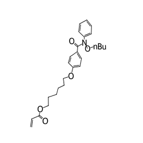 C=CC(=O)OCCCCCCOc1ccc(C(=O)N(OCCCC)c2ccccc2)cc1